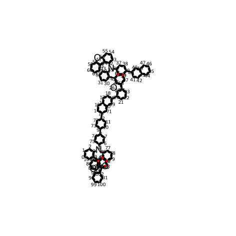 c1ccc(N(c2ccc(-c3ccc(-c4ccc5ccc(-c6cccc7c6oc6c(-c8ccccc8N(c8ccc(-c9ccc%10ccccc%10c9)cc8)c8cccc9oc%10ccccc%10c89)cccc67)cc5c4)cc3)cc2)c2cccc3oc4ccccc4c23)c(-c2cccc3c2oc2ccccc23)c1